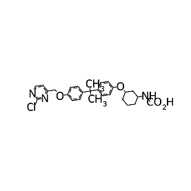 CC(C)(c1ccc(OCc2ccnc(Cl)n2)cc1)c1ccc(OC2CCCC(NC(=O)O)C2)cc1